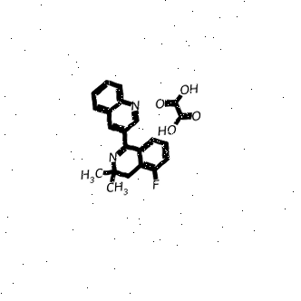 CC1(C)Cc2c(F)cccc2C(c2cnc3ccccc3c2)=N1.O=C(O)C(=O)O